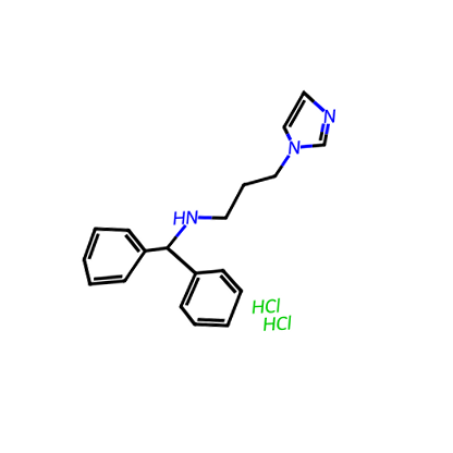 Cl.Cl.c1ccc(C(NCCCn2ccnc2)c2ccccc2)cc1